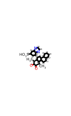 CC1C(=O)C(=O)C(C)c2c1ccc1c2ccc2ccccc21.O=S(=O)(O)c1ccc2nccnc2c1